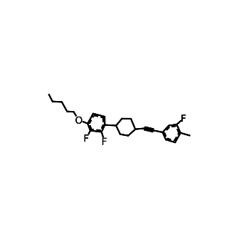 CCCCCOc1ccc(C2CCC(C#Cc3ccc(C)c(F)c3)CC2)c(F)c1F